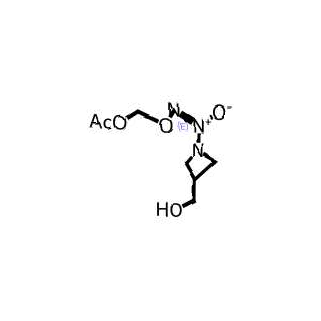 CC(=O)OCO/N=[N+](/[O-])N1CC(CO)C1